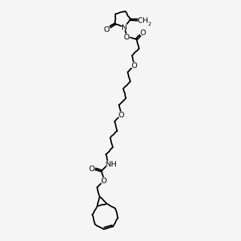 C=C1CCC(=O)N1OC(=O)CCOCCCCCOCCCCCNC(=O)OCC1C2CC/C=C\CCC21